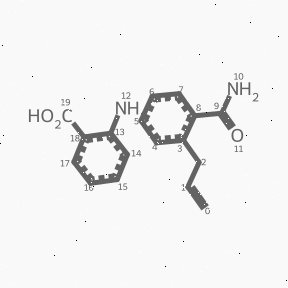 C=CCc1ccccc1C(N)=O.Nc1ccccc1C(=O)O